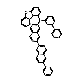 c1ccc(-c2cccc(N(c3ccc4ccc(-c5ccc6cc(-c7ccccc7)ccc6c5)cc4c3)c3cccc4oc5ccccc5c34)c2)cc1